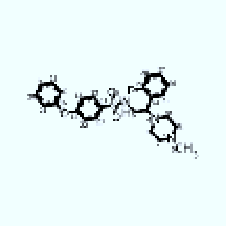 CN1CCN(C(CNS(=O)(=O)c2ccc(Oc3ccccc3)cc2)c2ccccc2F)CC1